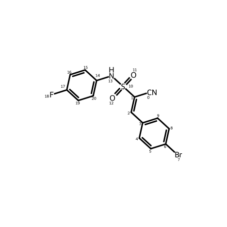 N#C/C(=C\c1ccc(Br)cc1)S(=O)(=O)Nc1ccc(F)cc1